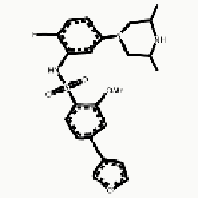 COc1cc(-c2ccoc2)ccc1S(=O)(=O)Nc1cc(N2CC(C)NC(C)C2)ccc1F